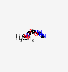 CC(C)(C)OC(=O)N1CCC(Oc2ccc(NC(=O)C3CCN(c4cccnn4)C3)cc2)CC1